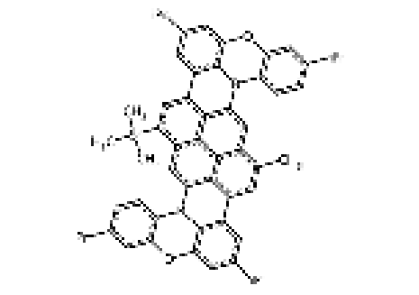 Cc1cc2c3c(cc4c([Si](C)(C)C)cc5c6c(cc1c3c46)B1c3ccc(C(C)C)cc3Oc3cc(C(C)C)cc-5c31)B1c3ccc(C(C)C)cc3Oc3cc(C(C)C)cc-2c31